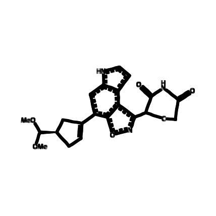 COC(OC)[C@@H]1CC=C(c2cc3[nH]ccc3c3c(C4CCC(=O)NC4=O)noc23)C1